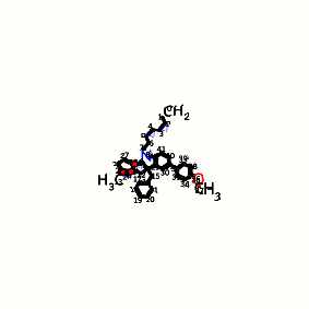 C=C/C=C\C=C/CCN1/C(=C/C=C/C)C(Cc2ccccc2)(Cc2ccccc2)c2cc(-c3ccc(OC)cc3)ccc21